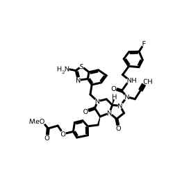 C#CCN(C(=O)NCc1ccc(F)cc1)N1CC(=O)N2[C@@H](Cc3ccc(OCC(=O)OC)cc3)C(=O)N(Cc3cccc4sc(N)nc34)C[C@@H]21